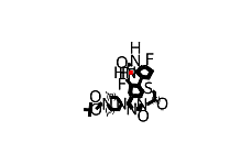 CO[C@@H]1CSc2c(-c3ccc(F)c4[nH]c(=O)[nH]c34)c(C(F)(F)F)cc3c(N4C[C@@H](C)N(C(=O)OC(C)(C)C)[C@@H](C)C4)nc(=O)n(c23)C1